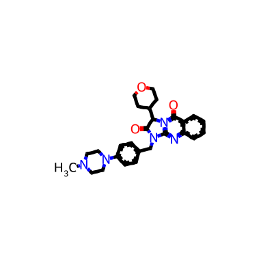 CN1CCN(c2ccc(CN3C(=O)C(C4CCOCC4)n4c3nc3ccccc3c4=O)cc2)CC1